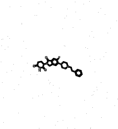 O=C1CCC(N2Cc3cc(C4CCN(CCc5ccccc5)CC4)c(F)cc3C2=O)C(=O)N1